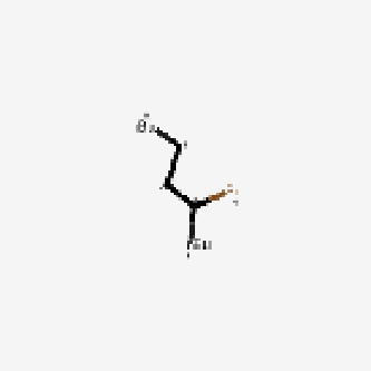 CCCCCCC(Br)CCCC